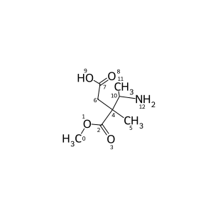 COC(=O)C(C)(CC(=O)O)C(C)N